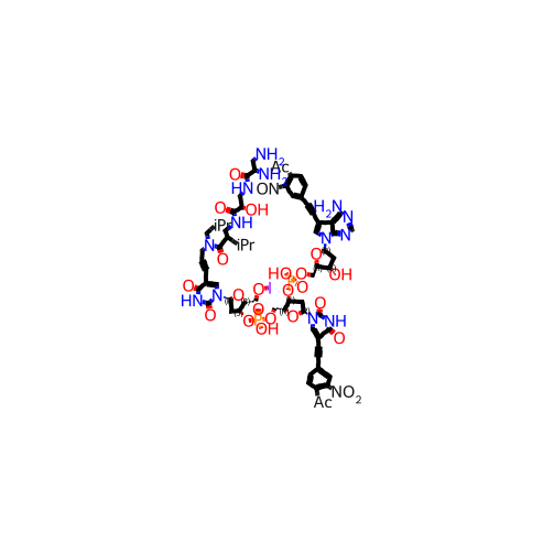 CC(=O)c1ccc(C#Cc2cn([C@H]3C[C@H](O)[C@@H](COP(=O)(O)O[C@H]4C[C@H](n5cc(C#Cc6ccc(C(C)=O)c([N+](=O)[O-])c6)c(=O)[nH]c5=O)O[C@@H]4COP(=O)(O)O[C@H]4C[C@H](n5cc(C#CCN(CC(C)C)C(=O)C(CNC(=O)C(O)CNC(=O)C(N)CN)C(C)C)c(=O)[nH]c5=O)O[C@@H]4COI)O3)c3ncnc(N)c23)cc1N=O